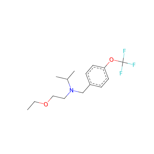 CCOCCN(Cc1ccc(OC(F)(F)F)cc1)C(C)C